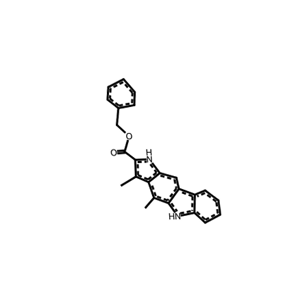 Cc1c(C(=O)OCc2ccccc2)[nH]c2cc3c([nH]c4ccccc43)c(C)c12